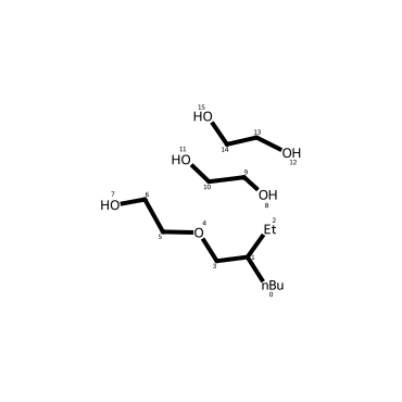 CCCCC(CC)COCCO.OCCO.OCCO